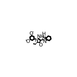 CC[C@@H]1C(=O)C(c2nc3ccccc3[nH]2)=C(N)N1c1cc(OC)cc(OC)c1